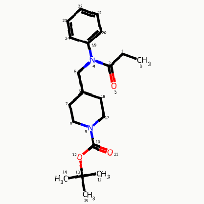 CCC(=O)N(CC1CCN(C(=O)OC(C)(C)C)CC1)c1ccccc1